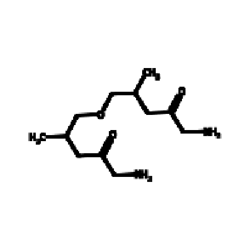 CC(COCC(C)CC(=O)CN)CC(=O)CN